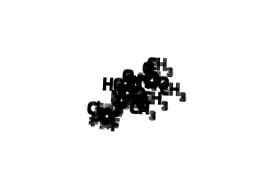 COc1ccc(CN2Cc3c(c(O)c4ncc(Cc5cc(Cl)c(F)cc5F)cc4c3N(C)S(C)(=O)=O)C2=O)c(OC)c1